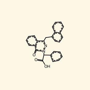 O=C(O)C(c1ccccc1)n1nc(Cc2cccc3ccccc23)c2ccccc2c1=O